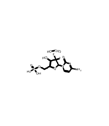 Nc1ccn(C2OC(COP(=O)(O)O)C(O)C2(F)F)c(=O)n1.O=CO